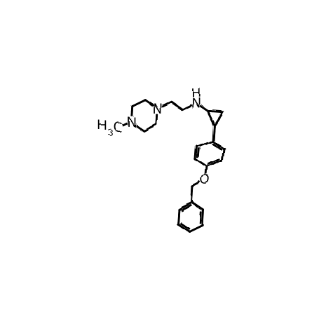 CN1CCN(CCNC2CC2c2ccc(OCc3ccccc3)cc2)CC1